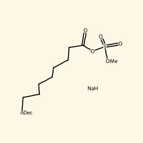 CCCCCCCCCCCCCCCCCC(=O)OS(=O)(=O)OC.[NaH]